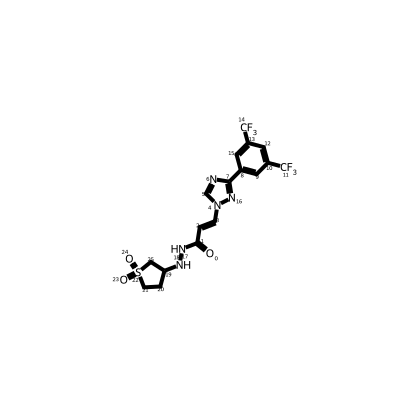 O=C(C=Cn1cnc(-c2cc(C(F)(F)F)cc(C(F)(F)F)c2)n1)NNC1CCS(=O)(=O)C1